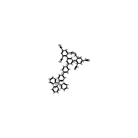 N#Cc1cc(C#N)c(-c2cc(-c3ccc(-c4ccc([Si](c5ccccc5)(c5ccccc5)c5ccccc5)cc4)cc3)cc(-c3c(C#N)cc(C#N)cc3C#N)c2)c(C#N)c1